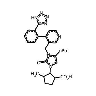 CCCCc1cn(C2C(C)CCC2C(=O)O)c(=O)n1Cc1cnccc1-c1ccccc1-c1nnn[nH]1